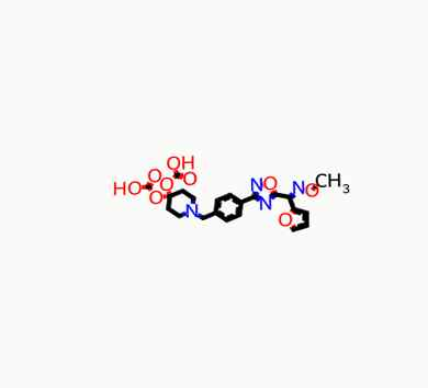 CON=C(c1ccco1)c1nc(-c2ccc(CN3CCC(OC(=O)O)(OC(=O)O)CC3)cc2)no1